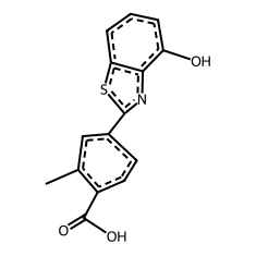 Cc1cc(-c2nc3c(O)cccc3s2)ccc1C(=O)O